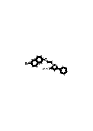 COc1cc(-c2ccccc2)nn1CCOc1ccc2cc(Br)ccc2c1